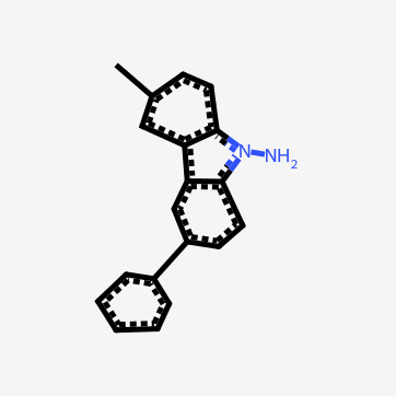 Cc1ccc2c(c1)c1cc(-c3ccccc3)ccc1n2N